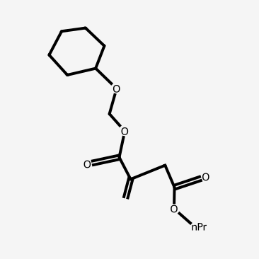 C=C(CC(=O)OCCC)C(=O)OCOC1CCCCC1